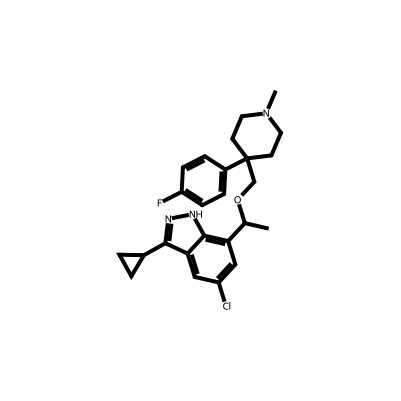 CC(OCC1(c2ccc(F)cc2)CCN(C)CC1)c1cc(Cl)cc2c(C3CC3)n[nH]c12